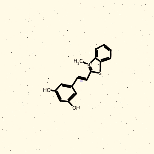 C[n+]1c(/C=C/c2cc(O)cc(O)c2)sc2ccccc21